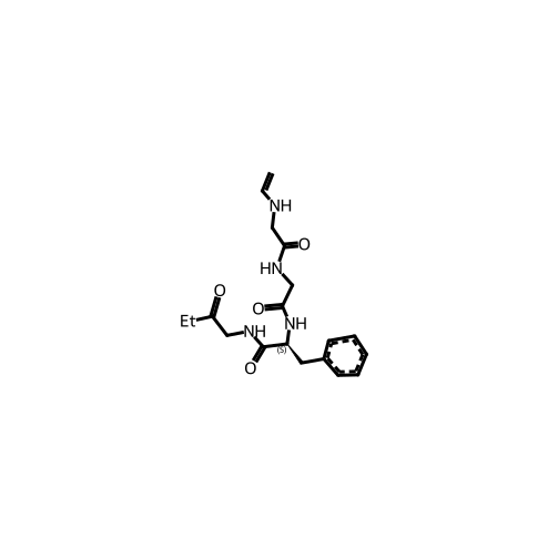 C=CNCC(=O)NCC(=O)N[C@@H](Cc1ccccc1)C(=O)NCC(=O)CC